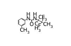 Cc1cccc(NC(=O)NC(C)(C(C)(F)F)C(F)(F)F)c1